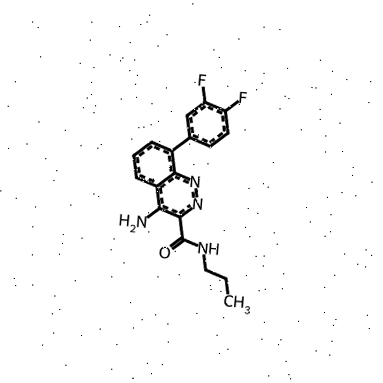 CCCNC(=O)c1nnc2c(-c3ccc(F)c(F)c3)cccc2c1N